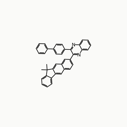 CC1(C)c2ccccc2-c2cc3ccc(-c4nc5ccccc5nc4-c4ccc(-c5ccccc5)cc4)cc3cc21